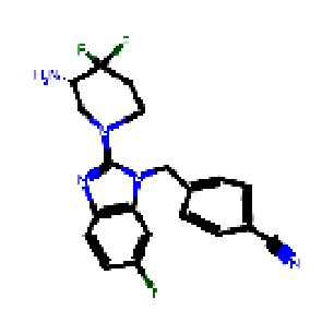 N#Cc1ccc(Cn2c(N3CCC(F)(F)[C@@H](N)C3)nc3ccc(F)cc32)cc1